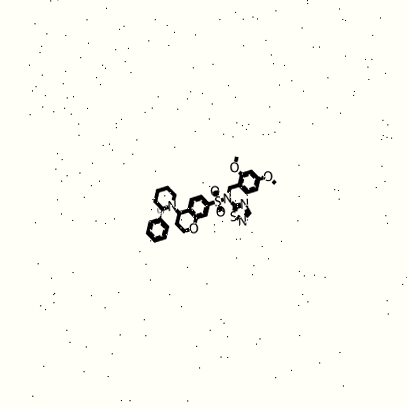 COc1ccc(CN(c2ncns2)S(=O)(=O)c2ccc3c(c2)OCCC3N2CCCC[C@H]2c2ccccc2)c(OC)c1